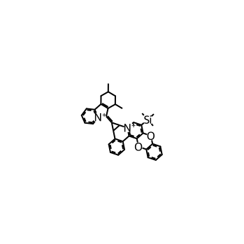 CC1CC2=C(/C(=C3/C4c5ccccc5-c5c6c(c([Si](C)(C)C)c[n+]5C34)Oc3ccccc3O6)[n+]3ccccc32)C(C)C1